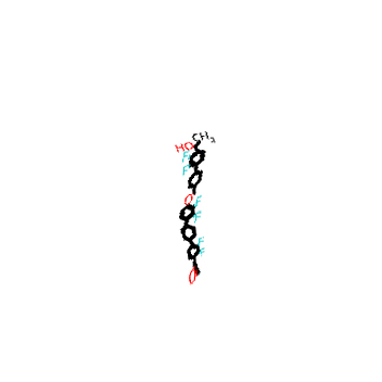 CCC(O)c1ccc(C2=CCC(COc3ccc(C4CCC(c5ccc(C6CO6)c(F)c5F)CC4)c(F)c3F)CC2)c(F)c1F